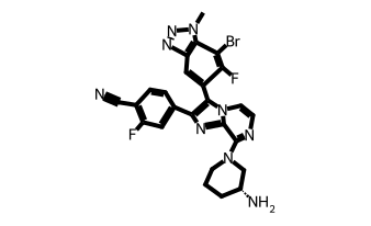 Cn1nnc2cc(-c3c(-c4ccc(C#N)c(F)c4)nc4c(N5CCC[C@@H](N)C5)nccn34)c(F)c(Br)c21